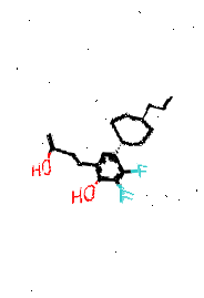 CCC[C@H]1CC[C@H](c2cc(CCC(C)O)c(O)c(F)c2F)CC1